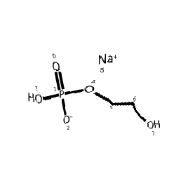 O=P([O-])(O)OCCO.[Na+]